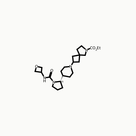 CCOC(=O)N1CCC2(CC(N3CCC([C@@H]4CCCN4C(=O)NC4COC4)CC3)C2)C1